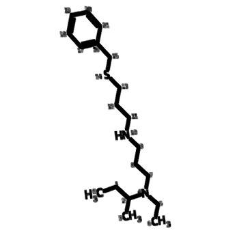 CCC(C)N(CC)CCCNCCCSCc1ccccc1